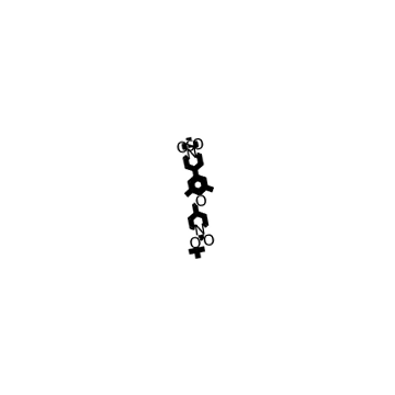 Cc1cc(C2CCN(S(C)(=O)=O)CC2)cc(C)c1OCC1CCN(C(=O)OC(C)(C)C)CC1